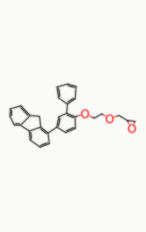 c1ccc(-c2cc(-c3cccc4c3Cc3ccccc3-4)ccc2OCCOCC2CO2)cc1